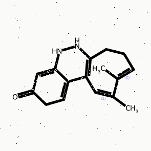 CC1=C/C2=C(CC\C=C\1C)NNC1=CC(=O)CC=C12